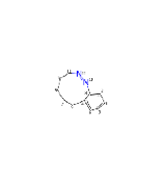 c1ccc2c(c1)CCCCC/N=N\2